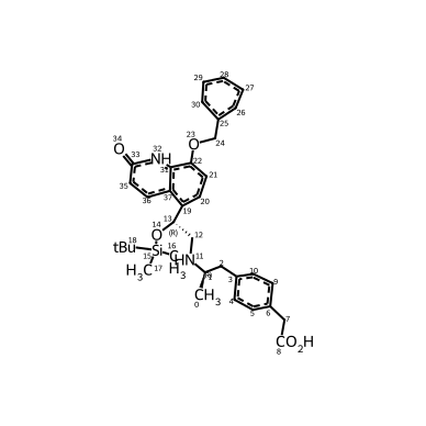 C[C@H](Cc1ccc(CC(=O)O)cc1)NC[C@H](O[Si](C)(C)C(C)(C)C)c1ccc(OCc2ccccc2)c2[nH]c(=O)ccc12